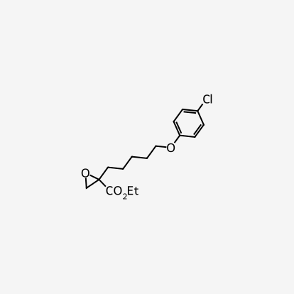 CCOC(=O)C1(CCCCCOc2ccc(Cl)cc2)CO1